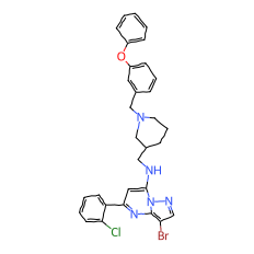 Clc1ccccc1-c1cc(NCC2CCCN(Cc3cccc(Oc4ccccc4)c3)C2)n2ncc(Br)c2n1